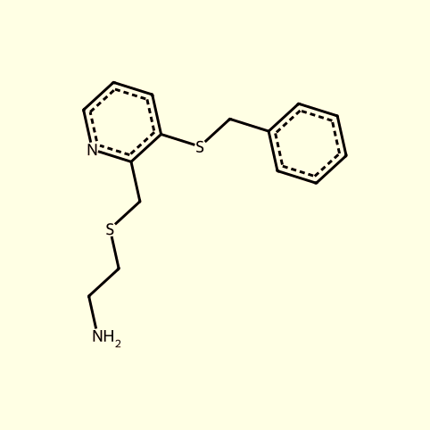 NCCSCc1ncccc1SCc1ccccc1